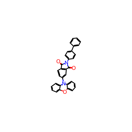 O=C1c2ccc(N3c4ccccc4Oc4ccccc43)cc2C(=O)N1c1ccc(-c2ccccc2)cc1